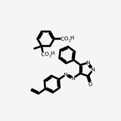 C=Cc1ccc(N=NC2=C(c3ccccc3)N=NC2=O)cc1.CC1(C(=O)O)C=CC=C(C(=O)O)C1